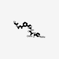 CC/C=C(C)/N=C(C)\C=C(/C)c1cccc(-c2csc(NC(=O)C(COC)NC(=O)c3ccn(NC)c3)n2)c1